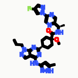 CCCn1ncc2c(Nc3cc(C)[nH]n3)nc([C@H]3CC[C@](OC)(C(=O)N[C@@H](C)c4cnc(-n5cc(F)cn5)cn4)CC3)nc21